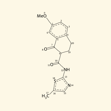 COc1ccc2c(c1)C(=O)C(C(=O)Nc1ncc(C)s1)CC2